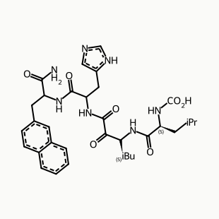 CC[C@H](C)C(NC(=O)[C@H](CC(C)C)NC(=O)O)C(=O)C(=O)NC(Cc1cnc[nH]1)C(=O)NC(Cc1ccc2ccccc2c1)C(N)=O